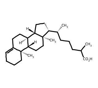 CC(CCC[C@@H](C)[C@H]1CC[C@H]2[C@@H]3CCC4=CCCC[C@]4(C)[C@H]3CC[C@]12C)C(=O)O